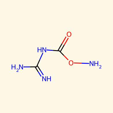 N=C(N)NC(=O)ON